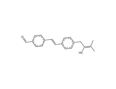 CC(C)=C(S)Cc1ccc(C=Cc2ccc(C=O)cc2)cc1